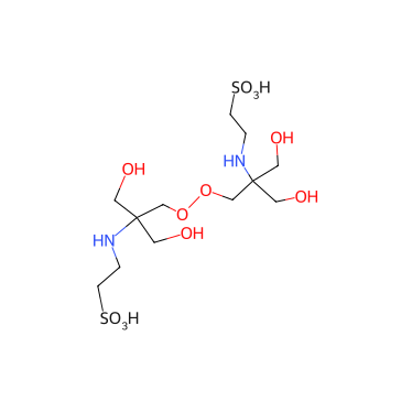 O=S(=O)(O)CCNC(CO)(CO)COOCC(CO)(CO)NCCS(=O)(=O)O